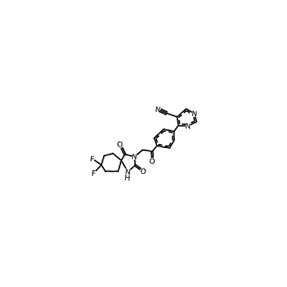 N#Cc1cncnc1-c1ccc(C(=O)CN2C(=O)NC3(CCC(F)(F)CC3)C2=O)cc1